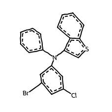 Clc1cc(Br)cc(N(c2ccccc2)c2csc3ccccc23)c1